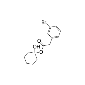 O=C(Cc1cccc(Br)c1)OC1(O)CCCCC1